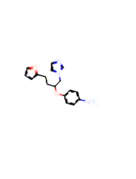 Nc1ccc(OC(CCc2ccco2)Cn2ccnc2)cc1